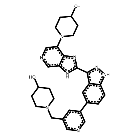 OC1CCN(Cc2cncc(-c3ccc4[nH]nc(-c5nc6c(N7CCC(O)CC7)cncc6[nH]5)c4c3)c2)CC1